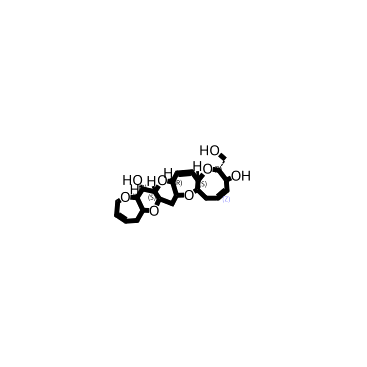 OC[C@H]1O[C@H]2C=C[C@H]3O[C@@H]4C(CC3OC2C/C=C\C1O)OC1CC=CCO[C@@H]1[C@H]4O